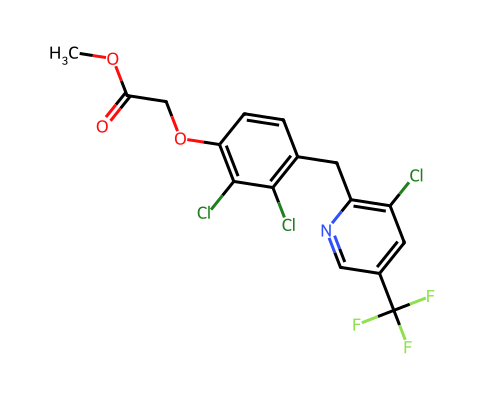 COC(=O)COc1ccc(Cc2ncc(C(F)(F)F)cc2Cl)c(Cl)c1Cl